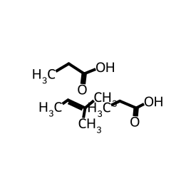 CC=C(C)C.CCC(=O)O.CCC(=O)O